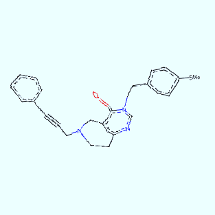 CSc1ccc(Cn2cnc3c(c2=O)CN(CC#Cc2ccccc2)CC3)cc1